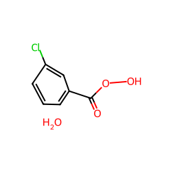 O.O=C(OO)c1cccc(Cl)c1